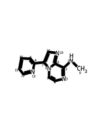 CNc1nccn2c(-c3ccccn3)cnc12